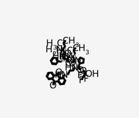 CC(C)C[C@H](NC(=O)[C@H](Cc1ccccc1)NC(=O)[C@@H](N)CC(C)C)C(=O)N1CCCC1C(=O)NCCCNc1cccc2c1C(=O)c1ccccc1C2=O.O=C(O)C(F)(F)F